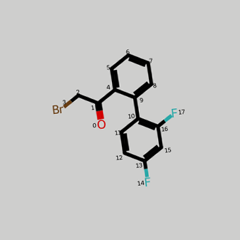 O=C(CBr)c1ccccc1-c1ccc(F)cc1F